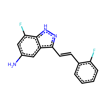 Nc1cc(F)c2[nH]nc(C=Cc3ccccc3F)c2c1